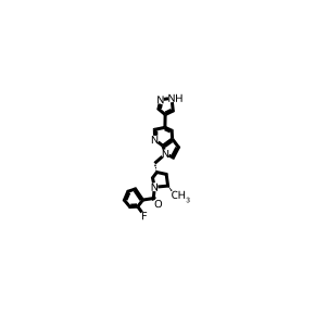 C[C@H]1C[C@@H](Cn2ccc3cc(-c4cn[nH]c4)cnc32)CN1C(=O)c1ccccc1F